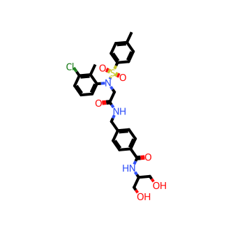 Cc1ccc(S(=O)(=O)N(CC(=O)NCc2ccc(C(=O)NC(CO)CO)cc2)c2cccc(Cl)c2C)cc1